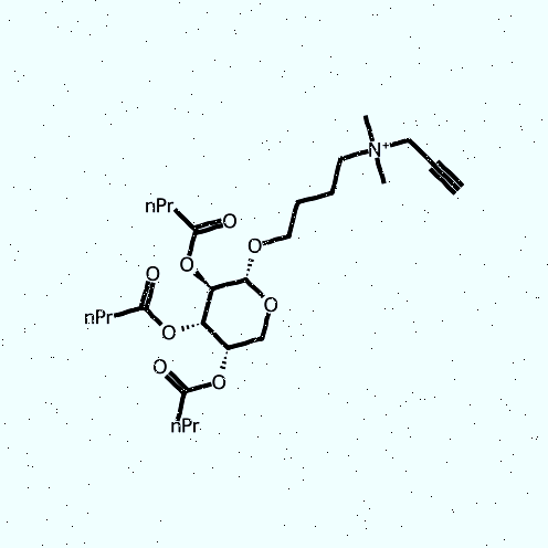 C#CC[N+](C)(C)CCCCO[C@@H]1OC[C@H](OC(=O)CCC)[C@H](OC(=O)CCC)[C@H]1OC(=O)CCC